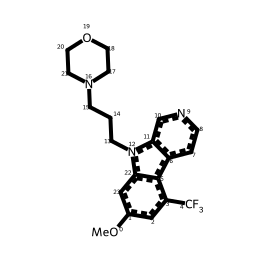 COc1cc(C(F)(F)F)c2c3ccncc3n(CCCN3CCOCC3)c2c1